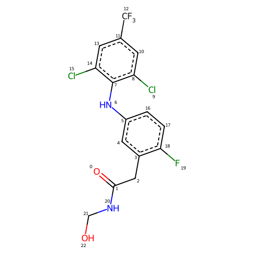 O=C(Cc1cc(Nc2c(Cl)cc(C(F)(F)F)cc2Cl)ccc1F)NCO